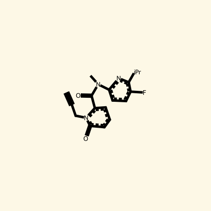 C#CCn1c(C(=O)N(C)c2ccc(F)c(C(C)C)n2)cccc1=O